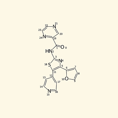 O=C(Nc1nc(-c2ccco2)c(-c2ccncc2)s1)c1cnccn1